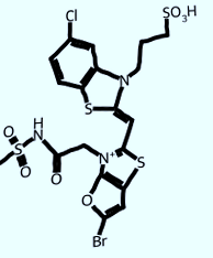 CS(=O)(=O)NC(=O)C[n+]1c(C=C2Sc3ccc(Cl)cc3N2CCCS(=O)(=O)O)sc2cc(Br)oc21